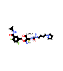 COC(=O)c1c(OCc2cc(C(=O)NC3CC3)c(F)cc2F)nsc1NC(=O)NCCCCN1CCCC1